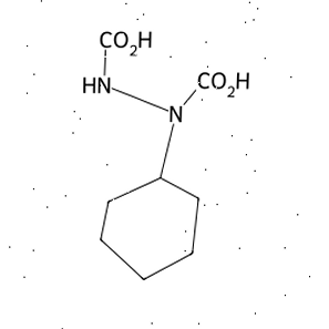 O=C(O)NN(C(=O)O)C1CCCCC1